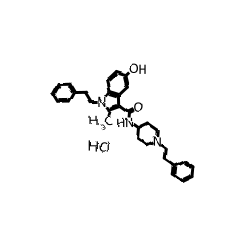 Cc1c(C(=O)NC2CCN(CCc3ccccc3)CC2)c2cc(O)ccc2n1CCc1ccccc1.Cl